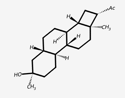 CC(=O)[C@H]1C[C@H]2[C@@H]3CC[C@H]4C[C@](C)(O)CC[C@@H]4[C@H]3CC[C@]12C